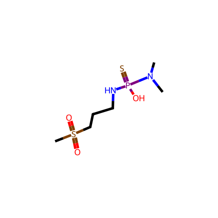 CN(C)P(O)(=S)NCCCS(C)(=O)=O